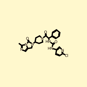 Cc1ncc2n1C(=O)N(C1CCN(C(=O)C(NC(=O)Nc3ccc(Cl)nc3)c3ccccc3)CC1)C2